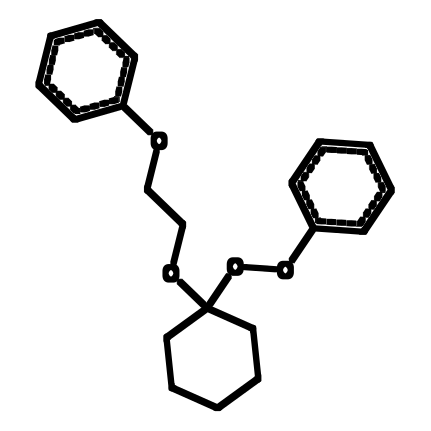 c1ccc(OCCOC2(OOc3ccccc3)CCCCC2)cc1